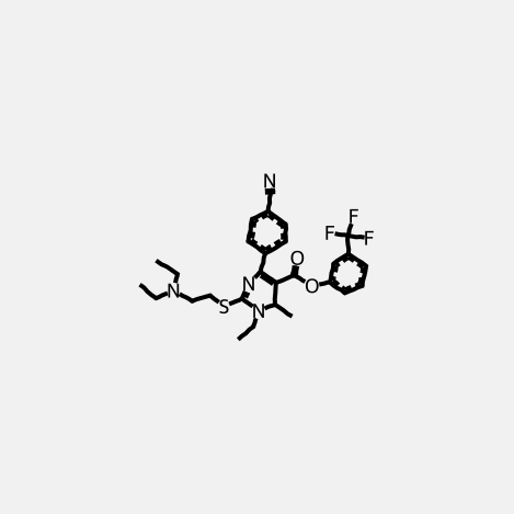 CCN(CC)CCSC1=NC(c2ccc(C#N)cc2)=C(C(=O)Oc2cccc(C(F)(F)F)c2)C(C)N1CC